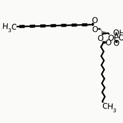 CC#CC#CC#CC#CC#CC#CC#CC(=O)OC[C@H](COP(=O)(O)O)OC(=O)CCCCCCCCCCCCCC